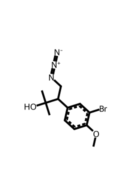 COc1ccc(C(CN=[N+]=[N-])C(C)(C)O)cc1Br